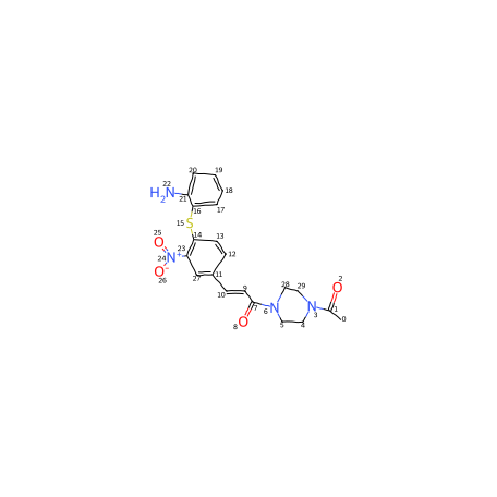 CC(=O)N1CCN(C(=O)C=Cc2ccc(Sc3ccccc3N)c([N+](=O)[O-])c2)CC1